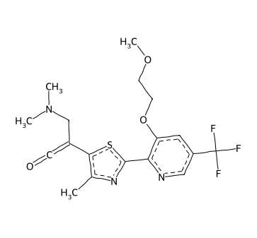 COCCOc1cc(C(F)(F)F)cnc1-c1nc(C)c(C(=C=O)CN(C)C)s1